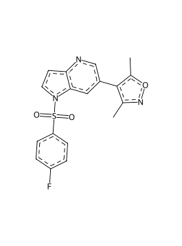 Cc1noc(C)c1-c1cnc2ccn(S(=O)(=O)c3ccc(F)cc3)c2c1